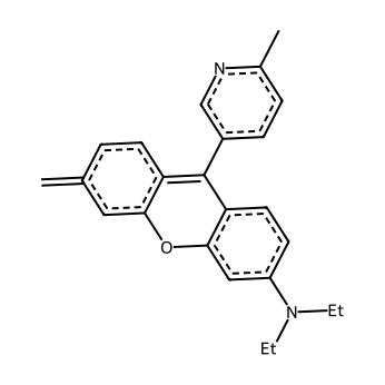 C=c1ccc2c(c1)Oc1cc(N(CC)CC)ccc1C=2c1ccc(C)nc1